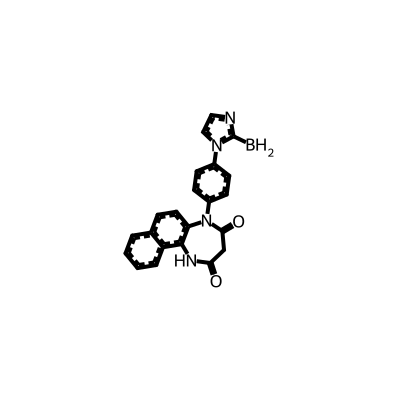 Bc1nccn1-c1ccc(N2C(=O)CC(=O)Nc3c2ccc2ccccc32)cc1